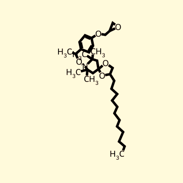 CCCCCCCCCCCCC1COC2(CC(C)(C)N(OC(C)c3ccc(OCC4CO4)cc3)C(C)(C)C2)O1